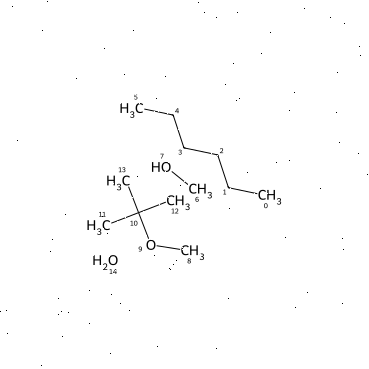 CCCCCC.CO.COC(C)(C)C.O